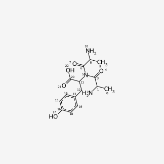 CC(N)C(=O)N(C(=O)C(C)N)C(Cc1ccc(O)cc1)C(=O)O